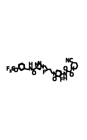 N#CC1CCCN(C(=O)C(=O)Nc2ccn(CCC(F)Cn3cc(C(=O)NCc4cccc(OC(F)(F)F)c4)nn3)c(=O)c2F)C1